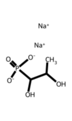 CC(O)C(O)P(=O)([O-])[O-].[Na+].[Na+]